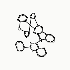 c1ccc(-c2nc(-n3c4ccccc4c4cc5c(cc43)C3(c4ccccc4Oc4ccccc43)c3ccccc3-5)c3ccccc3n2)cc1